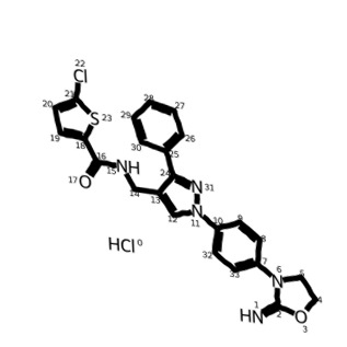 Cl.N=C1OCCN1c1ccc(-n2cc(CNC(=O)c3ccc(Cl)s3)c(-c3ccccc3)n2)cc1